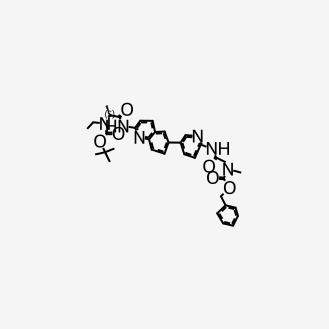 CCN(C(=O)OC(C)(C)C)[C@@H](C)C(=O)Nc1ccc2cc(-c3ccc(NC(=O)CN(C)C(=O)OCc4ccccc4)nc3)ccc2n1